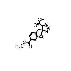 COC(=O)c1ccc(CC2(C3CC3)N=NSC2C(=O)O)cc1